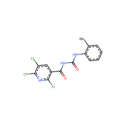 CC(C)(C)c1ccccc1NC(=O)NC(=O)c1cc(Cl)c(Cl)nc1Cl